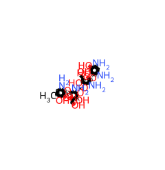 C[C@@H]1CC(N)[C@@H](O[C@H]2OC(CO)[C@@H](O)C(OCOC3C(N)[C@H](O[C@H]4C(N)C[C@H](N)C(O)C4O)OC(CO)[C@@H]3O)C2N)C(O)C1O